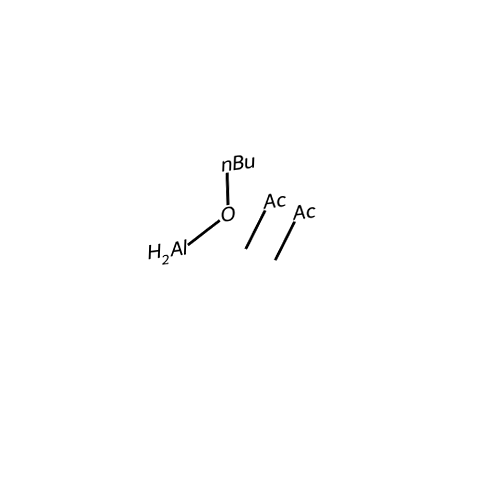 CC(C)=O.CC(C)=O.CCCC[O][AlH2]